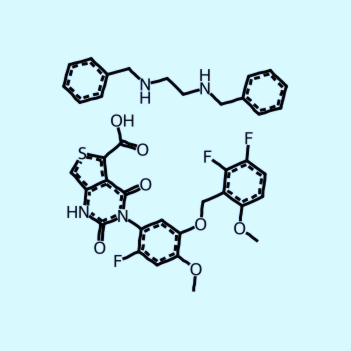 COc1cc(F)c(-n2c(=O)[nH]c3csc(C(=O)O)c3c2=O)cc1OCc1c(OC)ccc(F)c1F.c1ccc(CNCCNCc2ccccc2)cc1